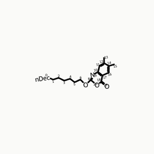 CCCCCCCCCCCCCCCCOc1nc2cc(C)c(C)cc2c(=O)o1